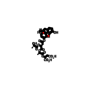 C[C@H](O)C(=O)O[C@@H](CC(=O)OC1=CC[C@@]2(O)[C@H]3Cc4ccc(O)c5c4[C@@]2(CCN3C)[C@H]1O5)C(=O)O[C@@H](C)C(=O)O[C@@H](CC(=O)O)C(=O)O